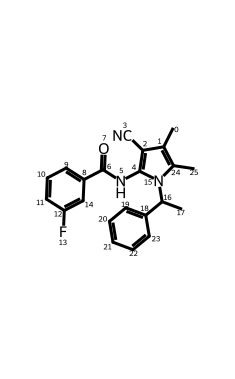 Cc1c(C#N)c(NC(=O)c2cccc(F)c2)n(C(C)c2ccccc2)c1C